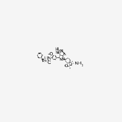 COc1cc(-c2nn(C3CCC(CCN)(OC(C)=O)CC3)c3ncnc(N)c23)ccc1NC(=O)[C@@H]1C[C@H]1c1ccccc1